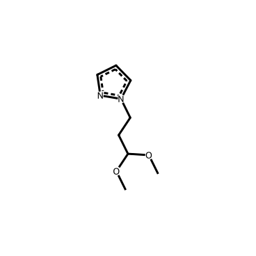 COC(CCn1cccn1)OC